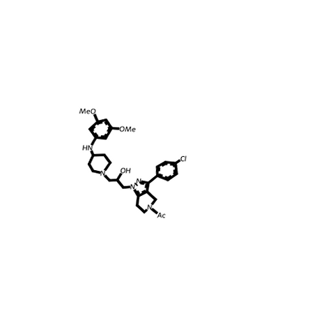 COc1cc(NC2CCN(CC(O)Cn3nc(-c4ccc(Cl)cc4)c4c3CCN(C(C)=O)C4)CC2)cc(OC)c1